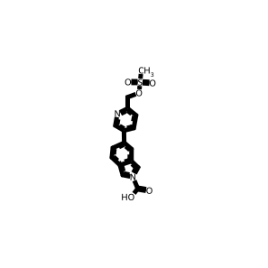 CS(=O)(=O)OCc1ccc(-c2ccc3cn(C(=O)O)cc3c2)cn1